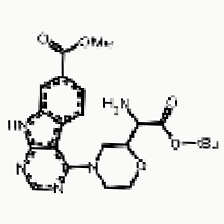 COC(=O)c1ccc2c(c1)[nH]c1ncnc(N3CCOC(C(N)C(=O)OC(C)(C)C)C3)c12